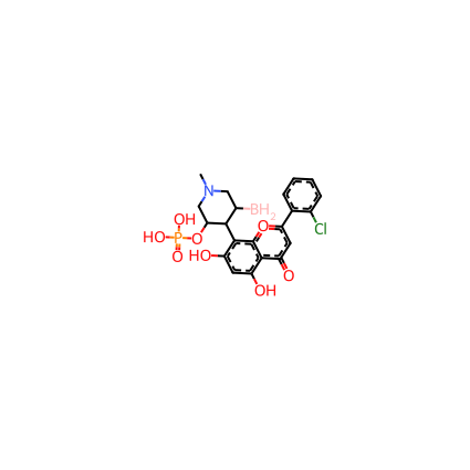 BC1CN(C)CC(OP(=O)(O)O)C1c1c(O)cc(O)c2c(=O)cc(-c3ccccc3Cl)oc12